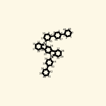 c1ccc(-c2ccc(-c3cccc(-n4c5ccccc5c5cc6c(cc54)c4ccccc4n6-c4ccc(-c5ccccc5)cc4)c3)cc2)cc1